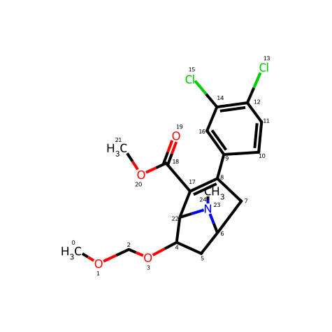 COCOC1CC2CC(c3ccc(Cl)c(Cl)c3)=C(C(=O)OC)C1N2C